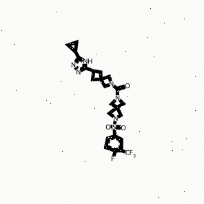 O=C(N1CC2(CC(c3nnc(C4CC4)[nH]3)C2)C1)N1CC2(C1)CN(S(=O)(=O)c1ccc(F)c(C(F)(F)F)c1)C2